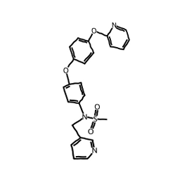 CS(=O)(=O)N(Cc1cccnc1)c1ccc(Oc2ccc(Oc3ccccn3)cc2)cc1